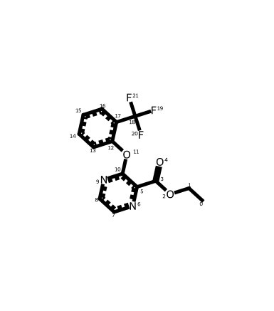 CCOC(=O)c1nccnc1Oc1ccccc1C(F)(F)F